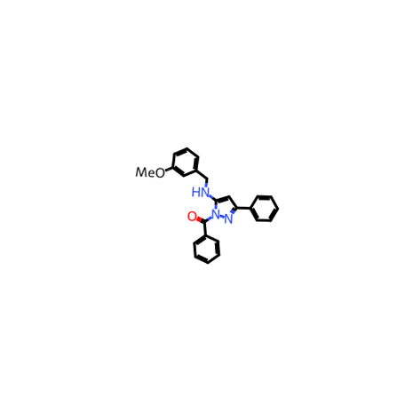 COc1cccc(CNc2cc(-c3ccccc3)nn2C(=O)c2ccccc2)c1